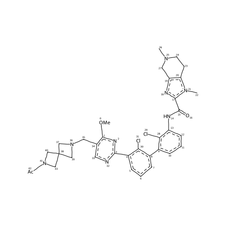 COc1nc(-c2cccc(-c3cccc(NC(=O)c4nc5c(n4C)CCN(C)C5)c3Cl)c2Cl)ncc1CN1CC2(C1)CN(C(C)=O)C2